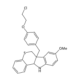 COc1ccc2c(c1)C1(Cc3ccc(OCCCl)cc3)CSc3ccccc3C1N2